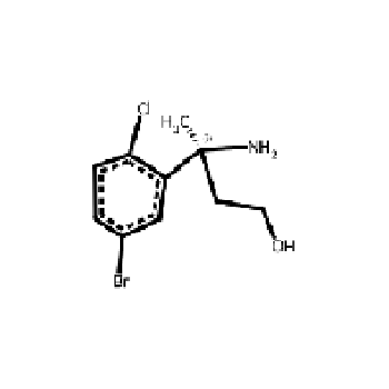 C[C@](N)(CCO)c1cc(Br)ccc1Cl